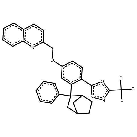 FC(F)(F)c1nnc(-c2ccc(OCc3ccc4ccccc4n3)cc2C2(c3ccccc3)CC3CCC2C3)o1